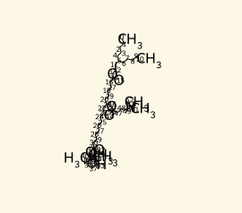 CCCCCC(CCCCC)CCOC(=O)CCCCCCCC(CCCCCCCC(=O)O[C@@H]1C[C@@H]2CC[C@@]1(C)C2(C)C)OC(=O)CCCN(C)C